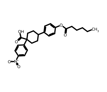 CCCCCC(=O)Oc1ccc(C2CCC(C(=O)O)(c3ccc([N+](=O)[O-])cc3)CC2)cc1